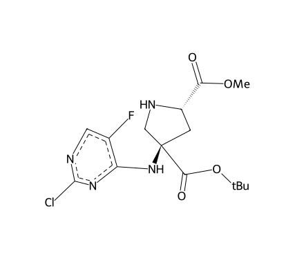 COC(=O)[C@@H]1C[C@](Nc2nc(Cl)ncc2F)(C(=O)OC(C)(C)C)CN1